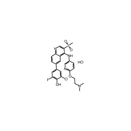 CN(C)CCOc1ccc(Nc2c(S(C)(=O)=O)cnc3ccc(-c4cc(F)c(O)c(Cl)c4)cc23)cn1.Cl